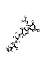 C[C@@H](NC(=O)NNC(=O)c1cnns1)c1ncc(-c2cc(Cl)cc(Cl)c2OCC(F)F)cc1F